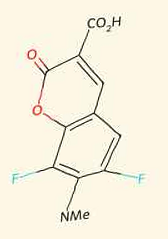 CNc1c(F)cc2cc(C(=O)O)c(=O)oc2c1F